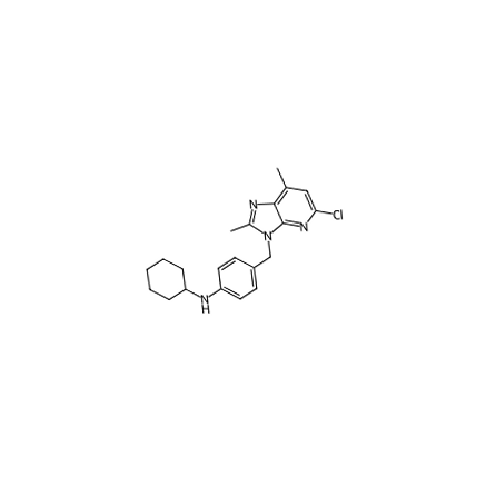 Cc1cc(Cl)nc2c1nc(C)n2Cc1ccc(NC2CCCCC2)cc1